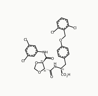 O=C(O)[C@H](Cc1ccc(OCc2c(Cl)cccc2Cl)cc1)NC(=O)[C@@H]1OCO[C@H]1C(=O)Nc1cc(Cl)cc(Cl)c1